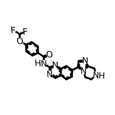 O=C(Nc1ncc2ccc(-c3cnc4n3CCNC4)cc2n1)c1ccc(OC(F)F)cc1